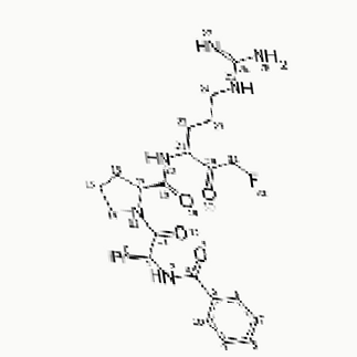 CC(C)[C@H](NC(=O)c1ccccc1)C(=O)N1CCC[C@H]1C(=O)N[C@@H](CCCNC(=N)N)C(=O)CF